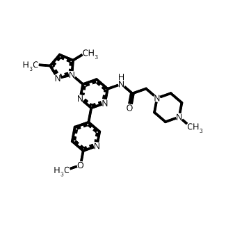 COc1ccc(-c2nc(NC(=O)CN3CCN(C)CC3)cc(-n3nc(C)cc3C)n2)cn1